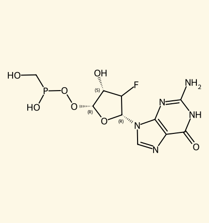 Nc1nc2c(ncn2[C@@H]2O[C@H](OOP(O)CO)[C@H](O)C2F)c(=O)[nH]1